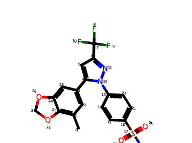 Cc1cc(-c2cc(C(F)(F)F)nn2-c2ccc(S(N)(=O)=O)cc2)cc2c1OCO2